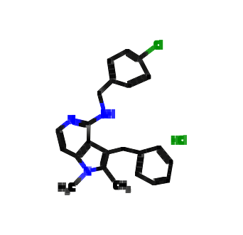 Cc1c(Cc2ccccc2)c2c(NCc3ccc(Cl)cc3)nccc2n1C.Cl